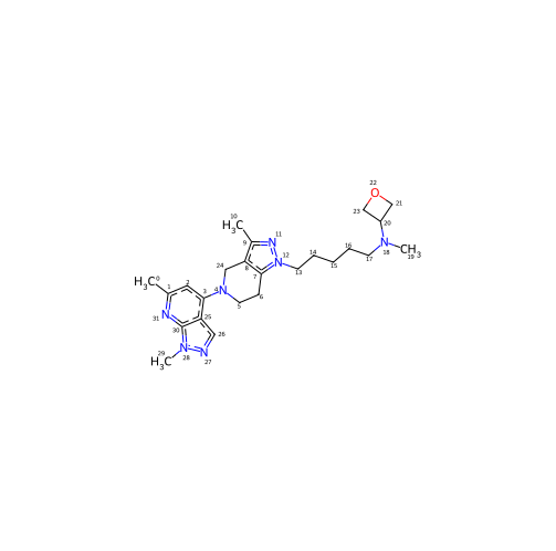 Cc1cc(N2CCc3c(c(C)nn3CCCCCN(C)C3COC3)C2)c2cnn(C)c2n1